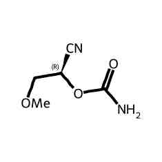 COC[C@@H](C#N)OC(N)=O